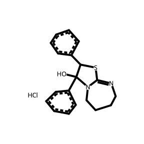 Cl.OC1(c2ccccc2)C(c2ccccc2)SC2=NCCCCN21